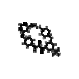 CN1CCN(Cc2cc(NC(=O)Nc3ccc(Oc4cc(N)ncn4)cc3)cc(C(F)(F)F)c2)CC1